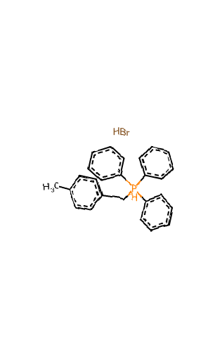 Br.Cc1ccc(C[PH](c2ccccc2)(c2ccccc2)c2ccccc2)cc1